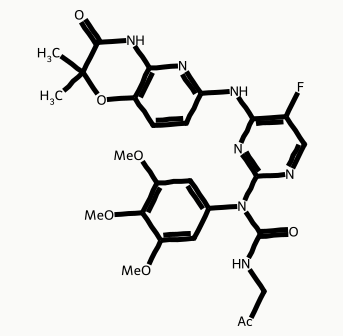 COc1cc(N(C(=O)NCC(C)=O)c2ncc(F)c(Nc3ccc4c(n3)NC(=O)C(C)(C)O4)n2)cc(OC)c1OC